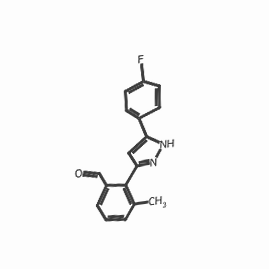 Cc1cccc(C=O)c1-c1cc(-c2ccc(F)cc2)[nH]n1